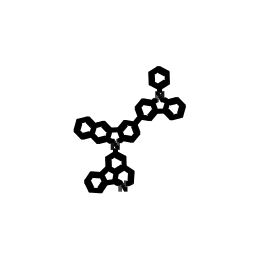 c1ccc(-n2c3ccccc3c3cc(-c4ccc5c(c4)c4cc6ccccc6cc4n5-c4cc5c6c(nccc6c4)-c4ccccc4-5)ccc32)cc1